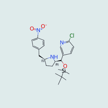 CC(C)(C)[Si](C)(C)OC(c1ccc(Cl)nc1)[C@H]1CC[C@@H](Cc2ccc([N+](=O)[O-])cc2)N1